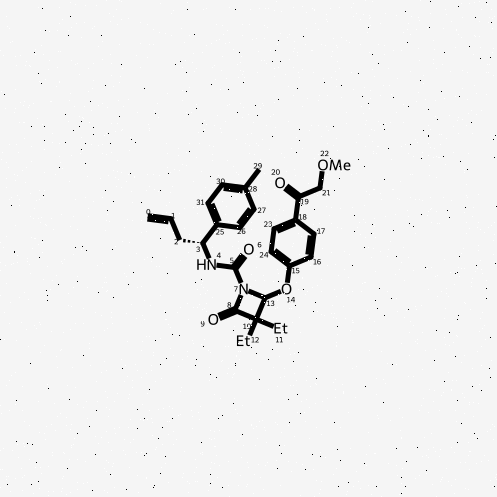 C=CC[C@@H](NC(=O)N1C(=O)C(CC)(CC)C1Oc1ccc(C(=O)COC)cc1)c1ccc(C)cc1